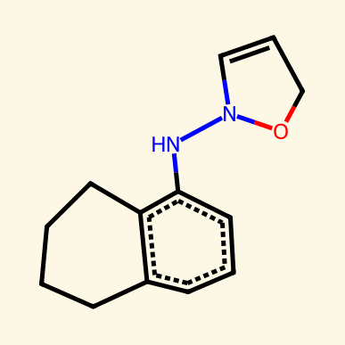 C1=CN(Nc2cccc3c2CCCC3)OC1